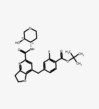 CC(C)(C)OC(=O)c1ccc(Cc2cc(C(=O)N[C@H]3CCOC[C@@H]3O)nc3c2OCC3)cc1F